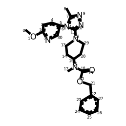 COc1ccc(-n2c(C)nnc2N2CCC(N(C)C(=O)OCc3ccccc3)CC2)cn1